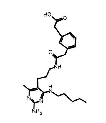 CCCCCNc1nc(N)nc(C)c1CCCNC(=O)Cc1cccc(CC(=O)O)c1